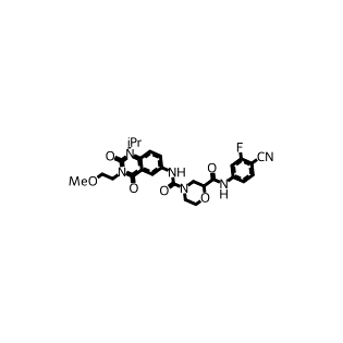 COCCn1c(=O)c2cc(NC(=O)N3CCOC(C(=O)Nc4ccc(C#N)c(F)c4)C3)ccc2n(C(C)C)c1=O